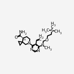 C=Cc1c(N(C)COCCS(C)(C)C)ncnc1N1CC[C@H](C(N)=O)C2(CC2)C1